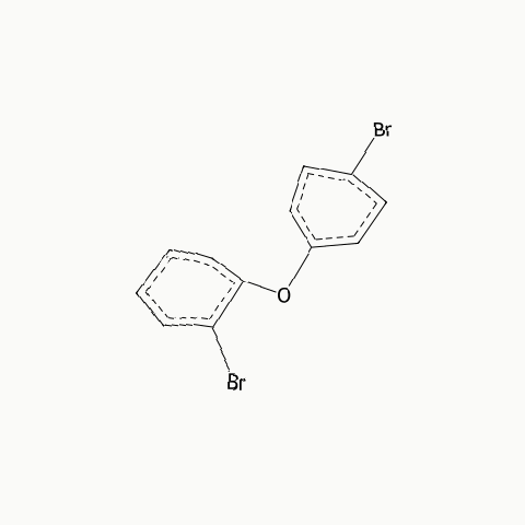 Brc1ccc(Oc2ccccc2Br)cc1